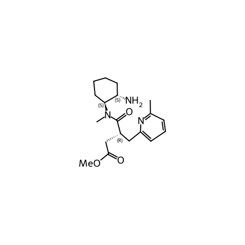 COC(=O)C[C@@H](Cc1cccc(C)n1)C(=O)N(C)[C@H]1CCCC[C@@H]1N